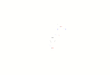 CC(C)(C)C(=O)N[C@H](CN)C(=O)Nc1ccc(N2CCOCC2=O)c(OC(F)F)c1